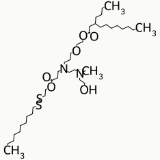 CCCCCCCCCCSSCCOC(=O)CCN(CCCOCCOC(=O)CC(CCCC)CCCCCCCC)CCN(C)CCO